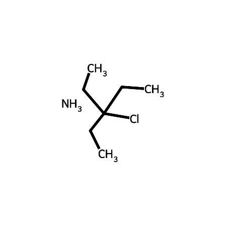 CCC(Cl)(CC)CC.N